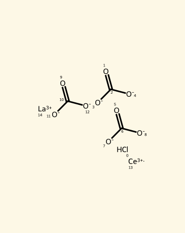 Cl.O=C([O-])[O-].O=C([O-])[O-].O=C([O-])[O-].[Ce+3].[La+3]